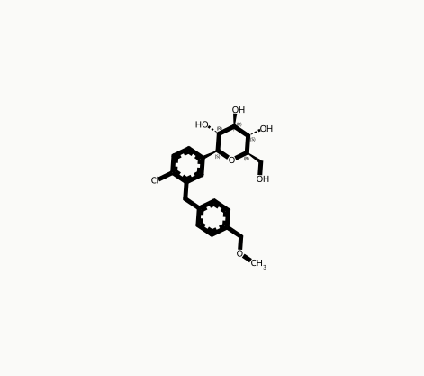 COCc1ccc(Cc2cc([C@@H]3O[C@H](CO)[C@@H](O)[C@H](O)[C@H]3O)ccc2Cl)cc1